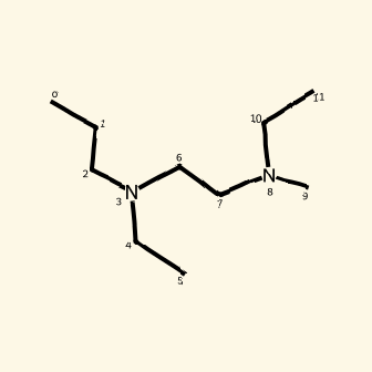 CCCN(CC)CCN(C)CC